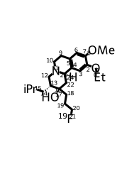 CCOc1cc2c(cc1OC)CCN1C[C@@H](CC(C)C)[C@@](O)(CCC[19F])C[C@H]21